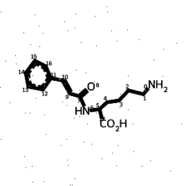 NCCCCC(NC(=O)C=Cc1ccccc1)C(=O)O